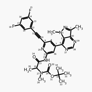 Cc1nn(C)c2c(-c3cc(C#Cc4cc(F)cc(F)c4)nc(NC(=O)C(C)N(C)C(=O)OC(C)(C)C)c3)ncnc12